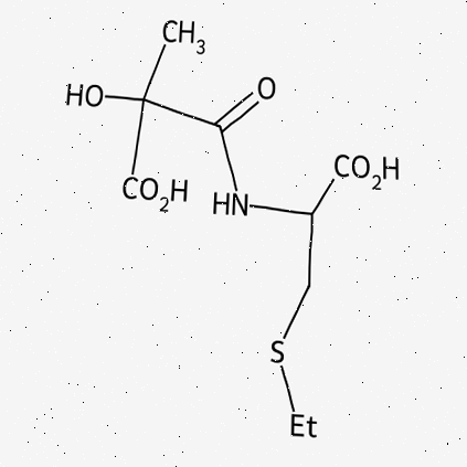 CCSCC(NC(=O)C(C)(O)C(=O)O)C(=O)O